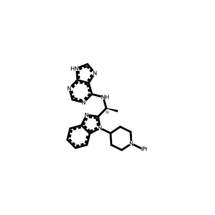 CC(C)N1CCC(n2c([C@H](C)Nc3ncnc4[nH]cnc34)nc3ccccc32)CC1